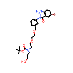 CC(C)(C)OC(=O)N(CCCO)CCOCCOCc1cccc(NC(=O)c2cc(Br)ccc2N)c1